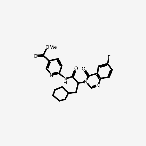 COC(=O)c1ccc(NC(=O)C(CC2CCCCC2)n2cnc3ccc(F)cc3c2=O)nc1